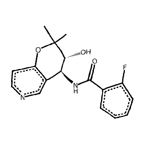 CC1(C)Oc2ccncc2[C@H](NC(=O)c2ccccc2F)[C@H]1O